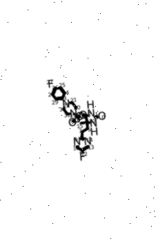 O=C1NC(=O)C(CCc2ncc(F)cn2)(CS(=O)(=O)N2CCN(c3ccc(F)cc3)CC2)N1